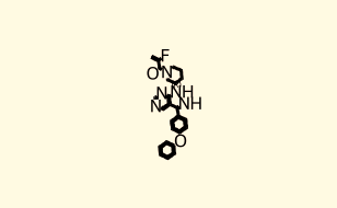 C=C(F)C(=O)N1CCC[C@@H](Nc2ncncc2C(=N)c2ccc(Oc3ccccc3)cc2)C1